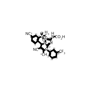 CC1=C(C#N)C(c2ccc(C#N)cc2S(C)(=O)=O)n2nc(NC(=O)O)nc2N1c1cccc(C(F)(F)F)c1